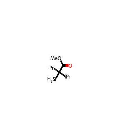 COC(=O)C([SiH3])(C(C)C)C(C)C